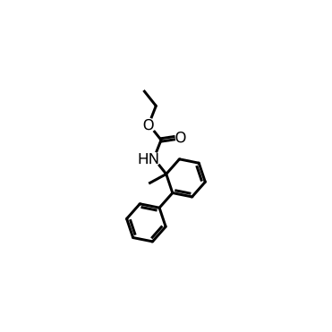 CCOC(=O)NC1(C)CC=CC=C1c1ccccc1